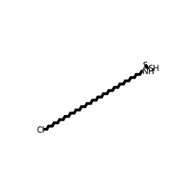 S=C(S)NCCCCCCCCCCCCCCCCCCCCCCCCCCCCCCCCCCCCCl